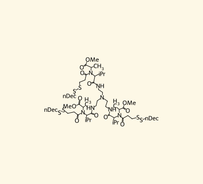 CCCCCCCCCCSSCCC(=O)N(C(C)C(=O)OC)C(C(=O)NCCN(CCNC(=O)C(C(C)C)N(C(=O)CCSSCCCCCCCCCC)C(C)C(=O)OC)CCNC(=O)C(C(C)C)N(C(=O)CCSSCCCCCCCCCC)C(C)C(=O)OC)C(C)C